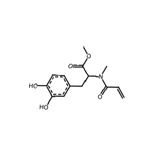 C=CC(=O)N(C)C(Cc1ccc(O)c(O)c1)C(=O)OC